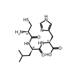 CC(C)C[C@@H](NC(=O)[C@@H](N)CS)C(=O)N[C@@H](Cc1c[nH]cn1)C(=O)O